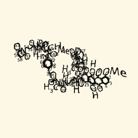 COc1cccc2c1C(=O)c1c(O)c3c(c(O)c1C2=O)C[C@@](O)(C(=O)NCCNC(=O)[C@@H](C)NC(=O)OCc1ccc(NC(=O)[C@H](C)NC(=O)[C@@H](NC(=O)CCN2C(=O)C=CC2=O)C(C)C)cc1)C[C@@H]3O[C@H]1C[C@H]2[C@H](O[C@@H]3[C@@H](OC)OCCN32)[C@H](C)O1